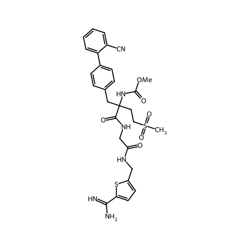 COC(=O)NC(CCS(C)(=O)=O)(Cc1ccc(-c2ccccc2C#N)cc1)C(=O)NCC(=O)NCc1ccc(C(=N)N)s1